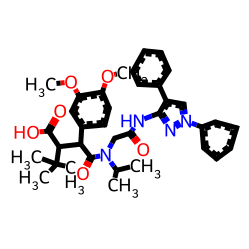 COc1ccc(C(C(=O)N(CC(=O)Nc2nn(-c3ccccc3)cc2-c2ccccc2)C(C)C)C(C(=O)O)C(C)(C)C)cc1OC